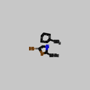 CC(=O)Nc1ncc(S)s1.O=[N+]([O-])c1ccccc1